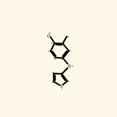 Cc1cc(Oc2[c]scc2)ccc1Cl